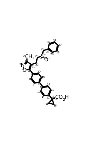 Cc1noc(-c2ccc(-c3ccc(C4(C(=O)O)CC4)cc3)cc2)c1CC[S+]([O-])Cc1ccccc1